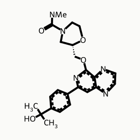 CNC(=O)N1CCO[C@H](COc2nc(-c3ccc(C(C)(C)O)cc3)cc3nccnc23)C1